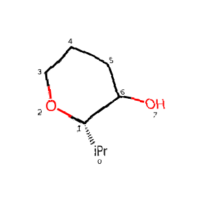 CC(C)[C@@H]1OCCCC1O